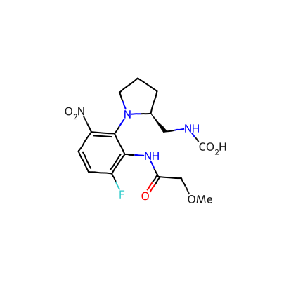 COCC(=O)Nc1c(F)ccc([N+](=O)[O-])c1N1CCC[C@H]1CNC(=O)O